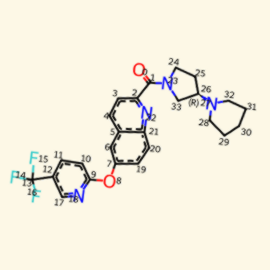 O=C(c1ccc2cc(Oc3ccc(C(F)(F)F)cn3)ccc2n1)N1CC[C@@H](N2CCCCC2)C1